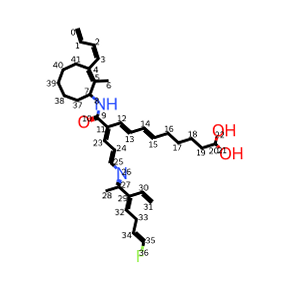 C=C/C=C\C1=C(/C)C(NC(=O)C(/C=C/C=C/CCCCC(O)O)=C/C=C/N=C(C)/C(C=C)=C/C/C=C/F)CCCCC1